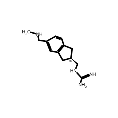 CNCc1ccc2c(c1)C[C@H](CNC(=N)N)C2